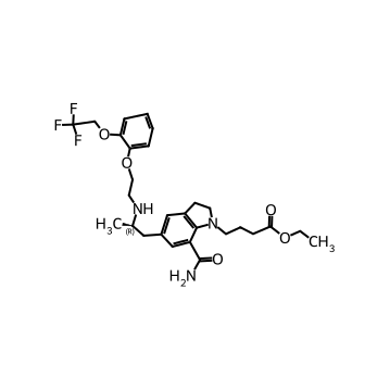 CCOC(=O)CCCN1CCc2cc(C[C@@H](C)NCCOc3ccccc3OCC(F)(F)F)cc(C(N)=O)c21